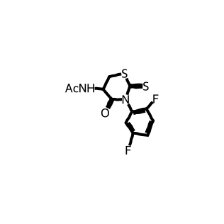 CC(=O)NC1CSC(=S)N(c2cc(F)ccc2F)C1=O